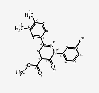 COC(=O)C1CC(c2ccc(C)c(C)c2)=NN(c2cccc(F)c2)C1=O